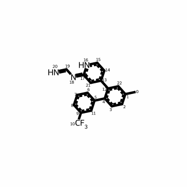 Cc1ccc(-c2cccc(C(F)(F)F)c2)c(-c2cc[nH]/c(=N\C=N)c2)c1